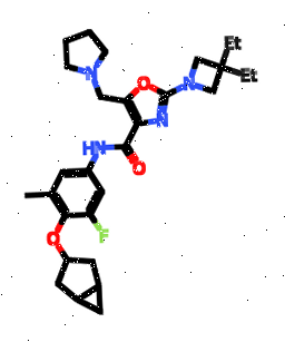 CCC1(CC)CN(c2nc(C(=O)Nc3cc(C)c(OC4CC5CC5C4)c(F)c3)c(CN3CCCC3)o2)C1